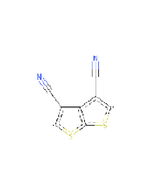 N#Cc1[c]sc2s[c]c(C#N)c12